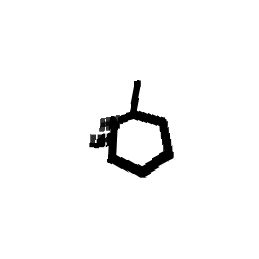 CC1CCCCN1.[LiH]